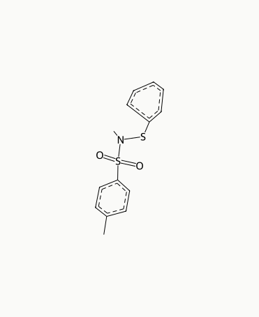 Cc1ccc(S(=O)(=O)N(C)Sc2ccccc2)cc1